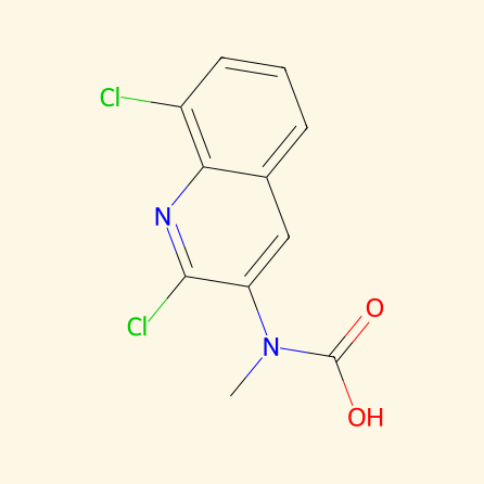 CN(C(=O)O)c1cc2cccc(Cl)c2nc1Cl